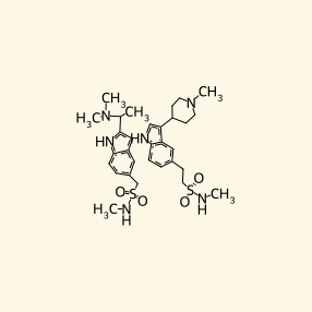 CNS(=O)(=O)CCc1ccc2[nH]cc(C3CCN(C)CC3)c2c1.CNS(=O)(=O)Cc1ccc2[nH]c(C(C)N(C)C)cc2c1